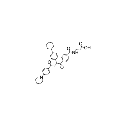 O=C(O)CCNC(=O)c1ccc(C(=O)C(CC(=O)c2ccc(N3CCCCC3)cc2)c2ccc(C3CCCCC3)cc2)cc1